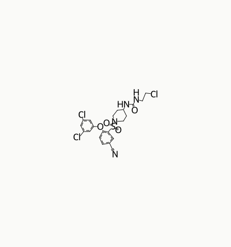 N#Cc1ccc(Oc2cc(Cl)cc(Cl)c2)c(S(=O)(=O)N2CCC(NC(=O)NCCCl)CC2)c1